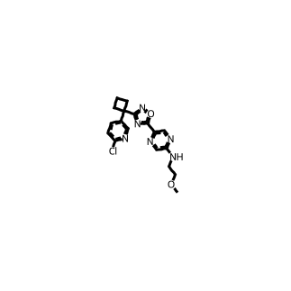 COCCNc1cnc(-c2nc(C3(c4ccc(Cl)nc4)CCC3)no2)cn1